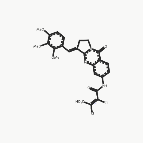 COc1ccc(C=C2CCn3c2nc2cc(NC(=O)/C(Cl)=C(/Cl)C(=O)O)ccc2c3=O)c(OC)c1OC